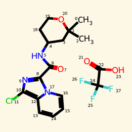 CC1(C)CC(NC(=O)c2nc(Cl)c3ccccn23)CCO1.O=C(O)C(F)(F)F